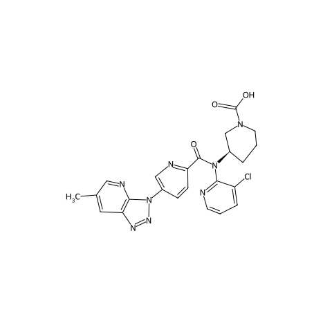 Cc1cnc2c(c1)nnn2-c1ccc(C(=O)N(c2ncccc2Cl)[C@@H]2CCCN(C(=O)O)C2)nc1